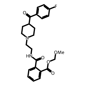 COCOC(=O)c1ccccc1C(=O)NCCN1CCC(C(=O)c2ccc(F)cc2)CC1